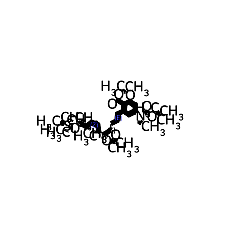 CCN(C(=O)OC(C)(C)C)c1cc(/C=C/C[C@@H]2OC(C)(C)O[C@@H]2C(C)/C=C\[C@@H](C)[C@H](C)O[Si](C)(C)C(C)(C)C)c2c(c1)OC(C)(C)OC2=O